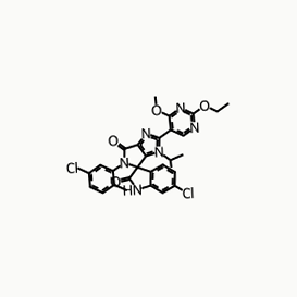 CCOc1ncc(-c2nc3c(n2C(C)C)C2(C(=O)Nc4cc(Cl)ccc42)N(c2cc(Cl)ccc2C)C3=O)c(OC)n1